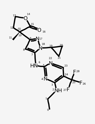 CCNc1nc(Nc2cc([C@]3(C)CCOC3=O)nn2C2CC2)ncc1C(F)(F)F